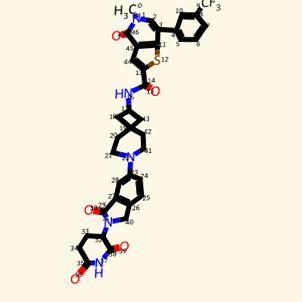 Cn1cc(-c2cccc(C(F)(F)F)c2)c2sc(C(=O)NC3CC4(CCN(c5ccc6c(c5)C(=O)N(C5CCC(=O)NC5=O)C6)CC4)C3)cc2c1=O